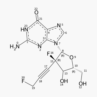 Nc1nc2c(ncn2[C@@H]2O[C@H](CO)C(O)[C@]2(F)C#CCF)c(=O)[nH]1